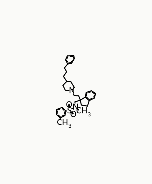 Cc1cccc(S(=O)(=O)N(C)CC2(CCN3CCC(CCCc4ccccc4)CC3)CCc3ccccc32)c1